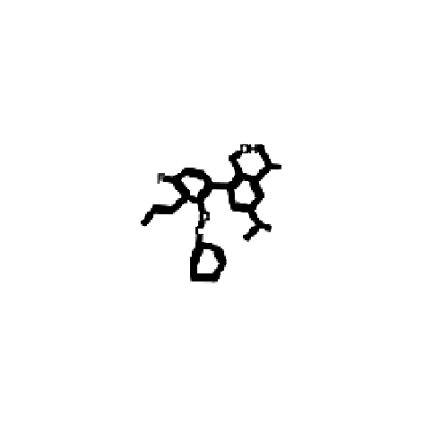 CC=Cc1c(F)ccc(-c2cc(C(C)C)cc(C(C)C)c2CO)c1OCc1ccccc1